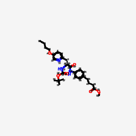 CCCCOc1ccc(C[C@@H](NC(=O)OC(C)(C)C)C(=O)Nc2ccc(CCCC(=O)OC)cc2)nc1